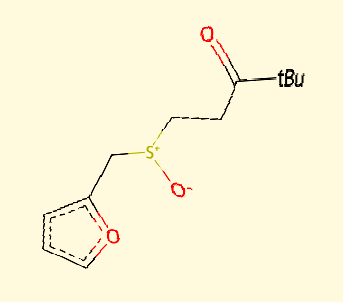 CC(C)(C)C(=O)CC[S+]([O-])Cc1ccco1